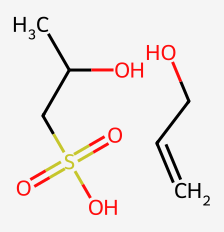 C=CCO.CC(O)CS(=O)(=O)O